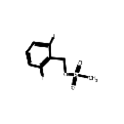 CS(=O)(=O)OCc1c(F)cccc1I